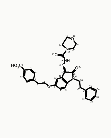 O=C(O)c1ccc(CCSc2ccc3c(c2)/C(=N/NC(=O)N2CCOCC2)C(=O)N3CCc2ccccc2)cc1